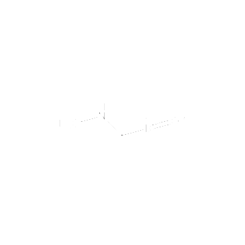 CNCB=O